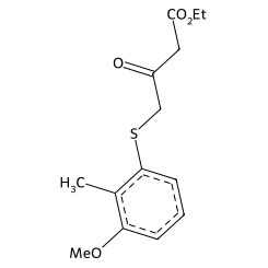 CCOC(=O)CC(=O)CSc1cccc(OC)c1C